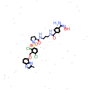 Cc1cnc2cccc(OCc3c(Cl)ccc(S(=O)(=O)N4CCC[C@H]4C(=O)NCCCNC(=O)c4ccc(/C(N)=N\O)cc4)c3Cl)c2n1